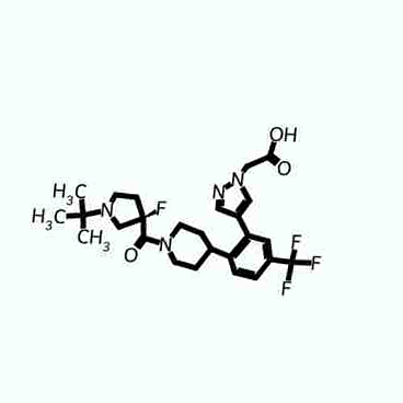 CC(C)(C)N1CC[C@](F)(C(=O)N2CCC(c3ccc(C(F)(F)F)cc3-c3cnn(CC(=O)O)c3)CC2)C1